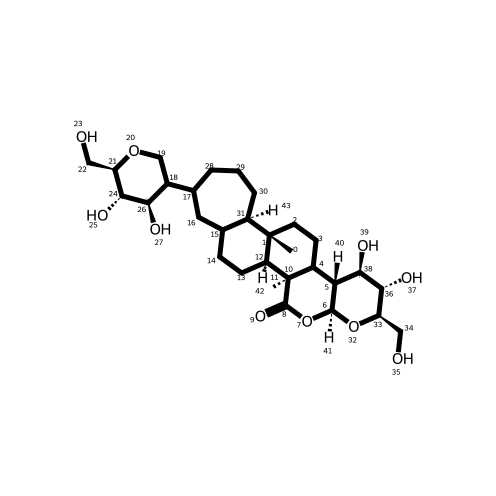 C[C@@]12CCC3[C@H]4[C@H](OC(=O)[C@@]3(C)[C@H]1CCC1CC(C3CO[C@H](CO)[C@@H](O)[C@@H]3O)CCC[C@H]12)O[C@H](CO)[C@@H](O)[C@@H]4O